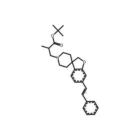 CC(CN1CCC2(CC1)COc1cc(/C=C/c3ccccc3)ccc12)C(=O)OC(C)(C)C